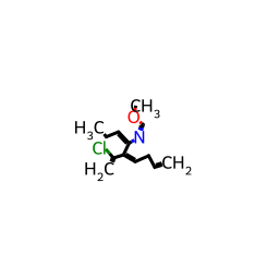 C=CC\C=C(C(=C)Cl)/C(=C\CC)/N=C\OC